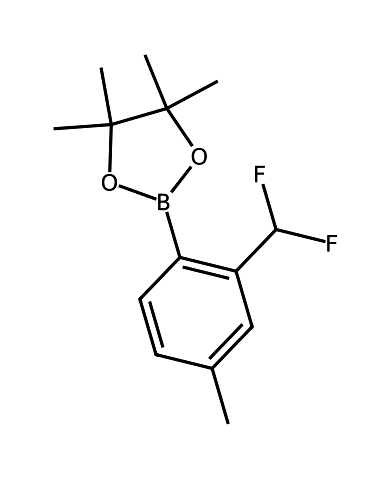 Cc1ccc(B2OC(C)(C)C(C)(C)O2)c(C(F)F)c1